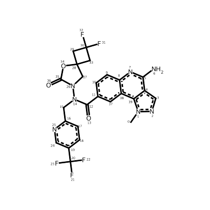 Cn1ncc2c(N)nc3ccc(C(=O)N(Cc4ccc(C(F)(F)F)cn4)N4CC5(CC(F)(F)C5)OC4=O)cc3c21